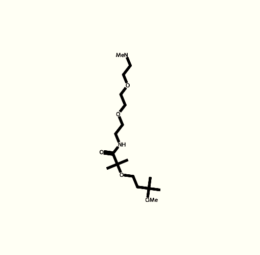 CNCCOCCOCCNC(=O)C(C)(C)OCCC(C)(C)OC